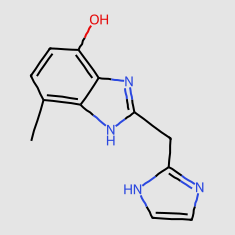 Cc1ccc(O)c2nc(Cc3ncc[nH]3)[nH]c12